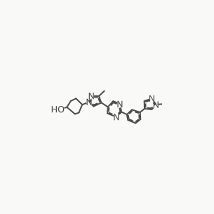 Cc1nn(C2CCC(O)CC2)cc1-c1cnc(-c2cccc(-c3cnn(C)c3)c2)nc1